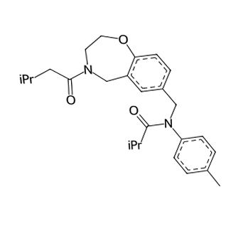 Cc1ccc(N(Cc2ccc3c(c2)CN(C(=O)CC(C)C)CCO3)C(=O)C(C)C)cc1